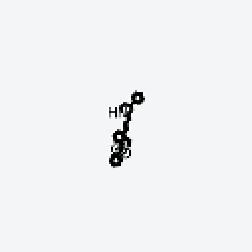 O=S(=O)(c1ccccc1)n1ccc2c(/C=C/CC3CC(c4ccccc4)=CCN3)cccc21